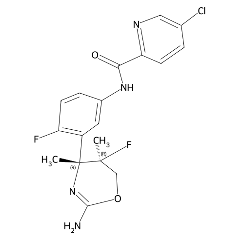 C[C@]1(F)COC(N)=N[C@]1(C)c1cc(NC(=O)c2ccc(Cl)cn2)ccc1F